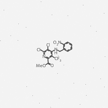 COC(=O)c1nc(Cl)c(Cl)c(NCc2ccccc2[N+](=O)[O-])c1C(F)(F)F